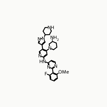 COc1cccc(F)c1-c1nccc(Nc2cc(N3CCC[C@H](N)C3)c(-c3cnn(C4CCNCC4)c3)cn2)n1